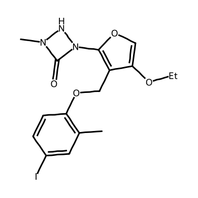 CCOc1coc(-n2[nH]n(C)c2=O)c1COc1ccc(I)cc1C